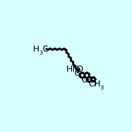 CCCCCCCC/C=C\CCCCCCCCNC(=O)O[C@@H]1CC[C@@]2(C)C(CCC3C4CCC[C@@]4(C)CCC32)C1